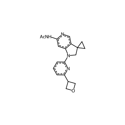 CC(=O)Nc1cc2c(cn1)C1(CC1)CN2c1cccc(C2COC2)n1